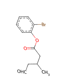 CC(CC=O)CC(=O)Oc1ccccc1Br